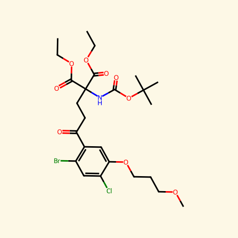 CCOC(=O)C(CCC(=O)c1cc(OCCCOC)c(Cl)cc1Br)(NC(=O)OC(C)(C)C)C(=O)OCC